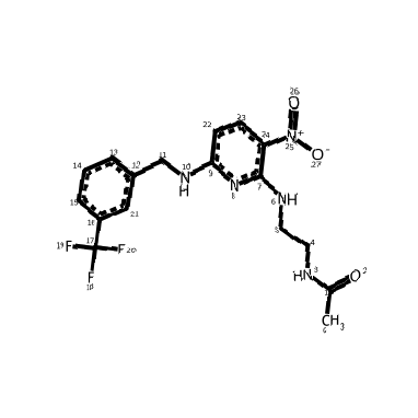 CC(=O)NCCNc1nc(NCc2cccc(C(F)(F)F)c2)ccc1[N+](=O)[O-]